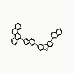 c1ccc2cc(-c3ccc4oc5ccc(-c6ccc7cc(-c8cc9c%10ccccc%10ccc9c9ccccc89)ccc7c6)cc5c4c3)ccc2c1